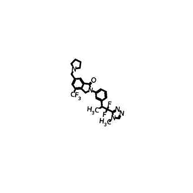 CC(c1cccc(N2Cc3c(cc(CN4CCCC4)cc3C(F)(F)F)C2=O)c1)C(F)(F)c1nncn1C